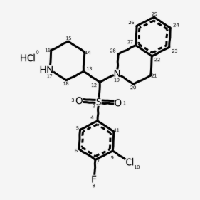 Cl.O=S(=O)(c1ccc(F)c(Cl)c1)C(C1CCCNC1)N1CCc2ccccc2C1